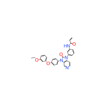 C=CC(=O)Nc1cccc(-n2c(=O)n(-c3ccc(Oc4cccc(OCC)c4)cc3)c3cnccc32)c1